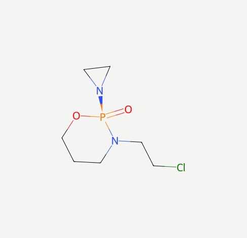 O=[P@@]1(N2CC2)OCCCN1CCCl